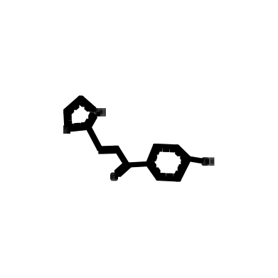 O=C(C=Cc1ncc[nH]1)c1ccc(O)cc1